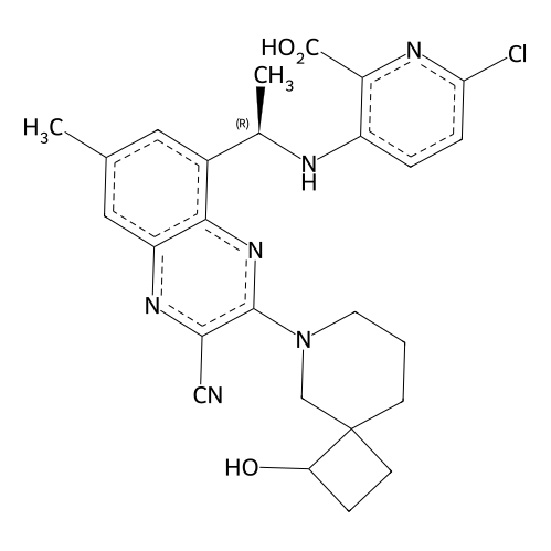 Cc1cc([C@@H](C)Nc2ccc(Cl)nc2C(=O)O)c2nc(N3CCCC4(CCC4O)C3)c(C#N)nc2c1